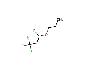 CCCOC(F)CC(F)(F)F